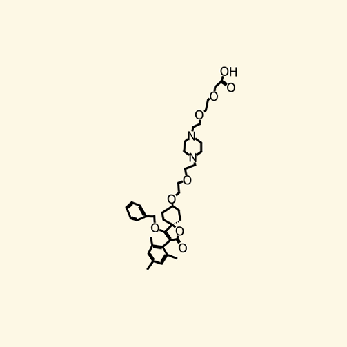 Cc1cc(C)c(C2=C(OCc3ccccc3)[C@]3(CC[C@H](OCCOCCN4CCN(CCOCCOCC(=O)O)CC4)CC3)OC2=O)c(C)c1